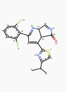 CC(C)c1csc(C2=CC(c3c(F)cccc3F)=NC3C=NC(=O)C23)n1